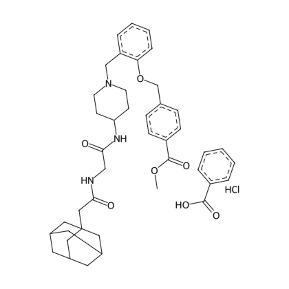 COC(=O)c1ccc(COc2ccccc2CN2CCC(NC(=O)CNC(=O)CC34CC5CC(CC(C5)C3)C4)CC2)cc1.Cl.O=C(O)c1ccccc1